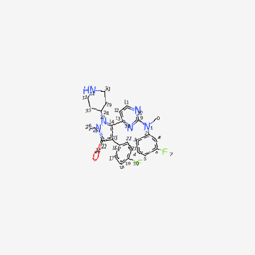 CN(c1cccc(F)c1)c1nccc(-c2c(-c3ccc(F)cc3)c(=O)n(C)n2C2CCNCC2)n1